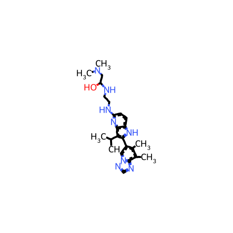 Cc1c(-c2[nH]c3ccc(NCCNC(O)CN(C)C)nc3c2C(C)C)cn2ncnc2c1C